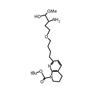 COC(O)C(N)CCOCCCCc1ccc2c(n1)N(C(=O)OC(C)(C)C)CCC2